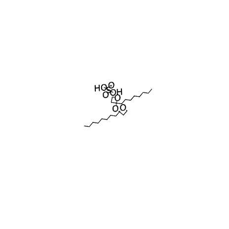 CCCCCCCCC1(OC2(CCCCCCCC)CCO2)CCO1.O=S(=O)(O)O